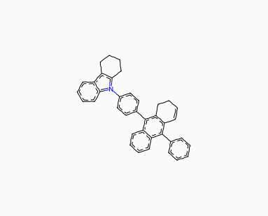 C1=Cc2c(c(-c3ccc(-n4c5c(c6ccccc64)CCCC5)cc3)c3ccccc3c2-c2ccccc2)CC1